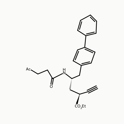 C#C[C@H](C[C@@H](Cc1ccc(-c2ccccc2)cc1)NC(=O)CCC(C)=O)C(=O)OCC